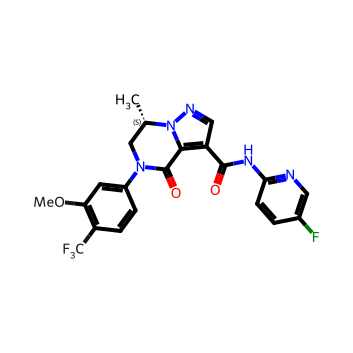 COc1cc(N2C[C@H](C)n3ncc(C(=O)Nc4ccc(F)cn4)c3C2=O)ccc1C(F)(F)F